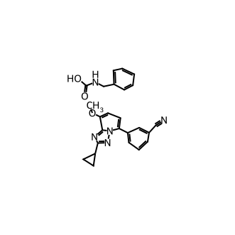 COc1ccc(-c2cccc(C#N)c2)n2nc(C3CC3)nc12.O=C(O)NCc1ccccc1